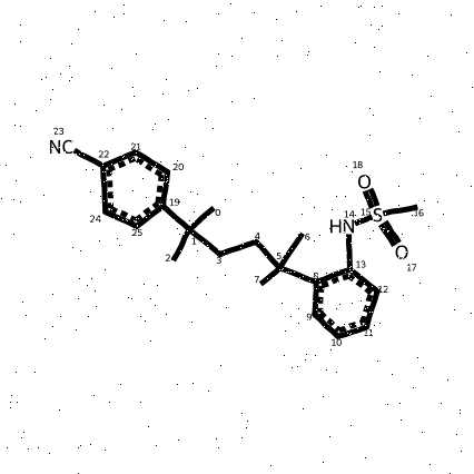 CC(C)(CCC(C)(C)c1ccccc1NS(C)(=O)=O)c1ccc(C#N)cc1